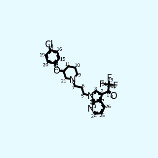 O=C(c1cn(CCCN2CCCC(Oc3ccc(Cl)cc3)C2)c2ncccc12)C(F)(F)F